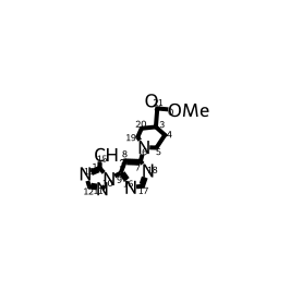 COC(=O)C1CCN(c2cc(-n3ncnc3C)ncn2)CC1